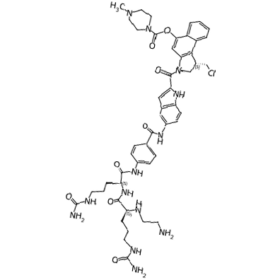 CN1CCN(C(=O)Oc2cc3c(c4ccccc24)[C@H](CCl)CN3C(=O)c2cc3cc(NC(=O)c4ccc(NC(=O)[C@H](CCCNC(N)=O)NC(=O)[C@H](CCCNC(N)=O)NCCN)cc4)ccc3[nH]2)CC1